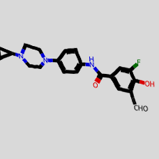 O=Cc1cc(C(=O)Nc2ccc(N3CCN(C4CC4)CC3)cc2)cc(F)c1O